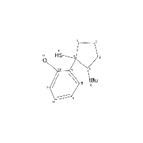 CC(C)(C)C1CCCC1(S)c1ccccc1[O]